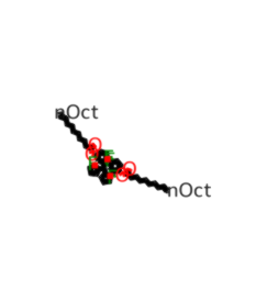 CCCCCCCCC=CCCCCCCCC(=O)Oc1ccc(F)[c]([Ti]([C]2=CC=CC2)([C]2=CC=CC2)[c]2c(F)ccc(OC(=O)CCCCCCCC=CCCCCCCCC)c2F)c1F